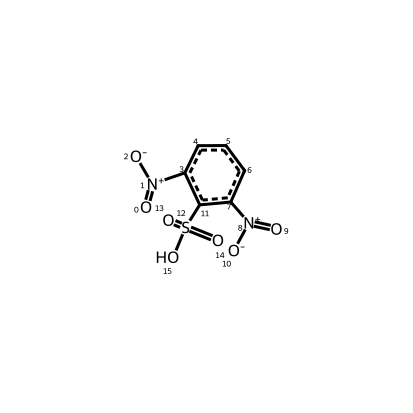 O=[N+]([O-])c1cccc([N+](=O)[O-])c1S(=O)(=O)O